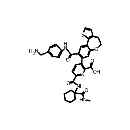 CNC(=O)C1(NC(=O)c2ccc(-c3cc4c(cc3C(=O)Nc3ccc(CN)cc3)-c3sccc3CCO4)c(C(=O)O)n2)CCCCC1